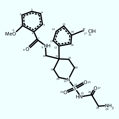 COc1ccccc1C(=O)NCC1(c2cccc(F)c2)CCN(S(=O)(=O)NC(=O)CN)CC1.Cl